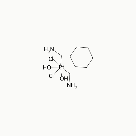 C1CCCCC1.N[CH2][Pt]([OH])([OH])([Cl])([Cl])[CH2]N